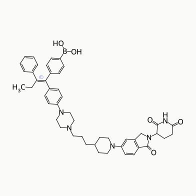 CC/C(=C(/c1ccc(B(O)O)cc1)c1ccc(N2CCN(CCCC3CCN(c4ccc5c(c4)CN(C4CCC(=O)NC4=O)C5=O)CC3)CC2)cc1)c1ccccc1